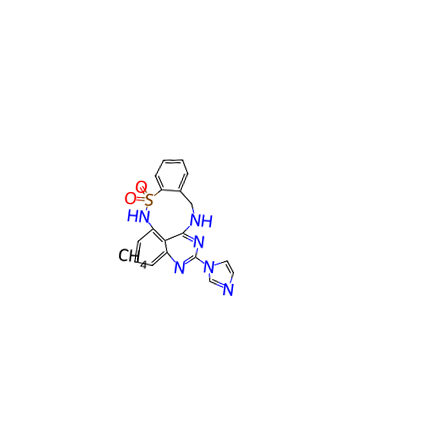 C.O=S1(=O)Nc2cccc3nc(-n4ccnc4)nc(c23)NCc2ccccc21